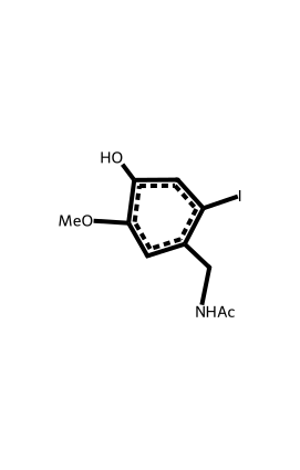 [CH2]C(=O)NCc1cc(OC)c(O)cc1I